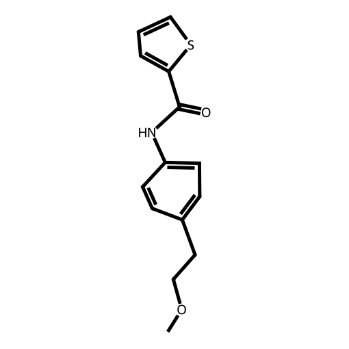 COCCc1ccc(NC(=O)c2cccs2)cc1